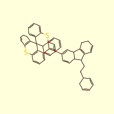 C1=CCC(CCC2C3=C(CCC=C3)C3C=C(C4=CC5Sc6ccccc6C6(C7=C(C=CCC7)Sc7cccc(-c8ccccc8)c76)C5C=C4)C=CC32)C=C1